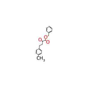 Cc1ccc(CCC(=O)C(=O)OCc2ccccc2)cc1